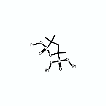 CC(C)OP1(=O)OC(C)(P(=O)(OC(C)C)OC(C)C)CC1(C)C